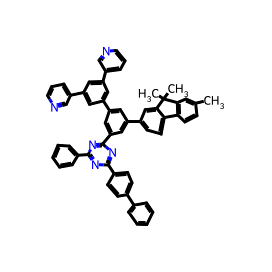 Cc1ccc2c(c1)C(C)(C)c1cc(-c3cc(-c4cc(-c5cccnc5)cc(-c5cccnc5)c4)cc(-c4nc(-c5ccccc5)nc(-c5ccc(-c6ccccc6)cc5)n4)c3)ccc1-2